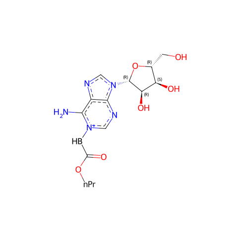 CCCOC(=O)B[n+]1cnc2c(ncn2[C@@H]2O[C@H](CO)[C@@H](O)[C@H]2O)c1N